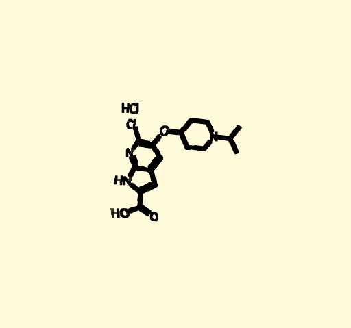 CC(C)N1CCC(Oc2cc3cc(C(=O)O)[nH]c3nc2Cl)CC1.Cl